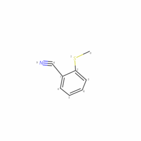 CSc1c[c]ccc1C#N